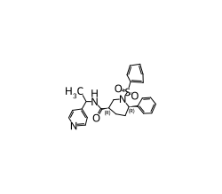 CC(NC(=O)[C@@H]1CC[C@H](c2ccccc2)N(S(=O)(=O)c2ccccc2)C1)c1ccncc1